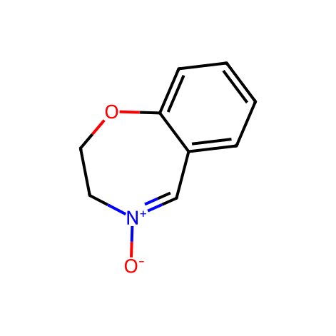 [O-][N+]1=Cc2ccccc2OCC1